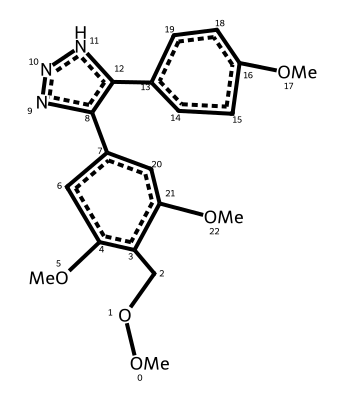 COOCc1c(OC)cc(-c2nn[nH]c2-c2ccc(OC)cc2)cc1OC